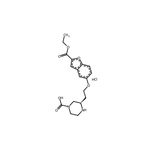 CCOC(=O)c1cc2cc(OCC[C@@H]3CN(C(=O)O)CCN3)ccc2o1.Cl